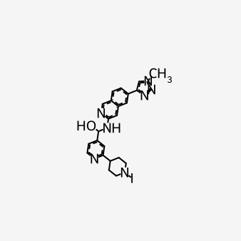 Cn1cc(-c2ccc3cnc(NC(O)c4ccnc(C5CCN(I)CC5)c4)cc3c2)nn1